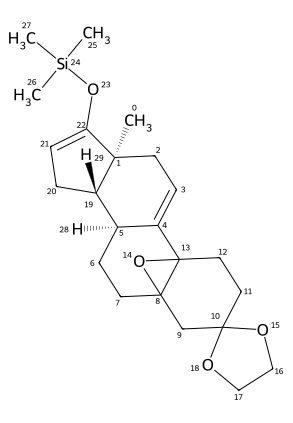 C[C@]12CC=C3[C@@H](CCC45CC6(CCC34O5)OCCO6)[C@@H]1CC=C2O[Si](C)(C)C